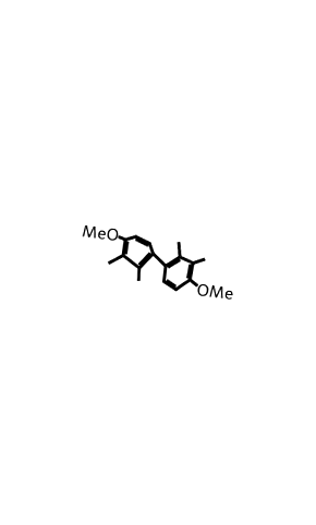 COc1ccc(-c2ccc(OC)c(C)c2C)c(C)c1C